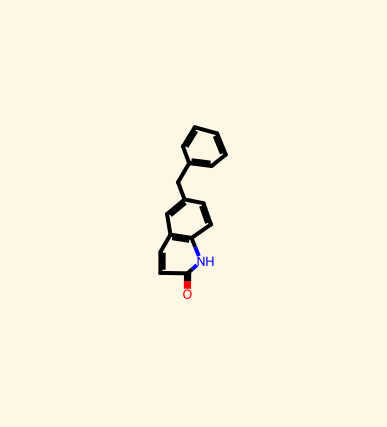 O=c1ccc2cc(Cc3ccccc3)ccc2[nH]1